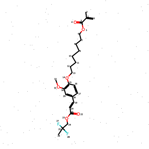 C=C(C)C(=O)OCCCCCCCCOc1ccc(/C=C/C(=O)OCC(C)(F)F)cc1OC